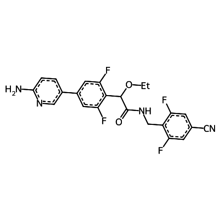 CCOC(C(=O)NCc1c(F)cc(C#N)cc1F)c1c(F)cc(-c2ccc(N)nc2)cc1F